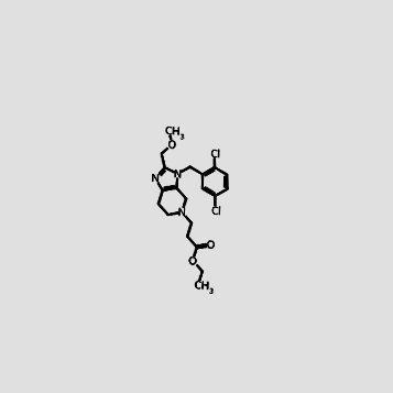 CCOC(=O)CCN1CCc2nc(COC)n(Cc3cc(Cl)ccc3Cl)c2C1